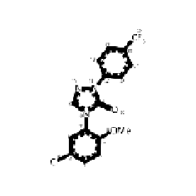 COc1ccc(Cl)cc1-n1cnn(-c2ccc(C(F)(F)F)cc2)c1=O